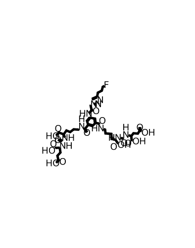 O=C(O)CCC(NC(=O)NC(CCCCNC(=O)c1cc(NC(=O)Cn2cc(CCCF)nn2)cc(C(=O)NCCCCC(NC(=O)NC(CCC(=O)O)C(=O)O)C(=O)O)c1)C(=O)O)C(=O)O